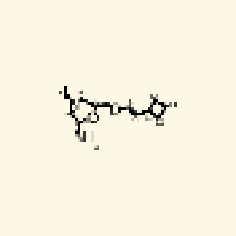 BC1CN(I)CC(COC=CC2CCC2)O1